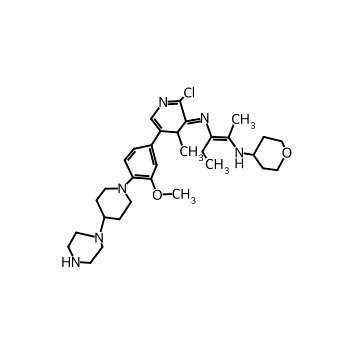 CCC(/N=C1/C(Cl)=NC=C(c2ccc(N3CCC(N4CCNCC4)CC3)c(OC)c2)C1C)=C(/C)NC1CCOCC1